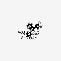 CC(=O)OC[C@H]1O[C@@H](n2cc(C3=CC(=O)N(C)C3=O)c3cccnc32)[C@H](OC(C)=O)[C@@H](OC(C)=O)[C@@H]1OC(C)=O